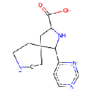 O=C(O)C1CC2(CCNCC2)C(c2ccncn2)N1